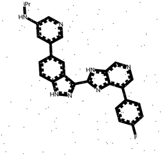 CC(C)Nc1cncc(-c2ccc3[nH]nc(-c4nc5c(-c6ccc(F)cc6)cncc5[nH]4)c3c2)c1